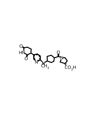 CN(c1ccc(C2CCC(=O)NC2=O)cn1)C1CCC(C(=O)N2CC[C@@H](C(=O)O)C2)CC1